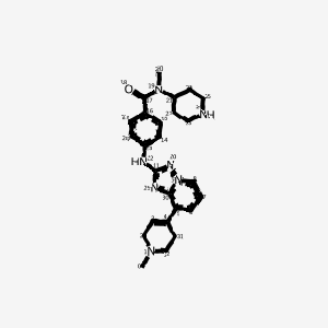 CN1CC=C(c2cccn3nc(Nc4ccc(C(=O)N(C)C5CCNCC5)cc4)nc23)CC1